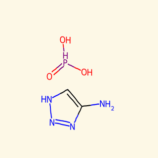 Nc1c[nH]nn1.O=[PH](O)O